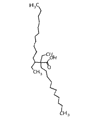 CCCCCCCCCCCC(CC)C(CC)(CCCCCCCCCCC)C(=O)O